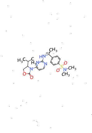 CC(C)C1COC(=O)N1c1ccnc(N[C@@H](C)c2ccc(S(=O)(=O)N(C)C)cc2)n1